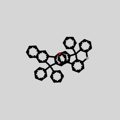 c1ccc(C2(c3ccccc3)c3cc(-c4cccc5c4C(c4ccccc4)(c4ccccc4)c4ccccc4O5)ccc3-c3cc4ccccc4cc32)cc1